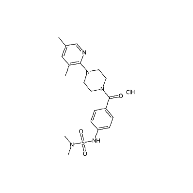 Cc1cnc(N2CCN(C(=O)c3ccc(NS(=O)(=O)N(C)C)cc3)CC2)c(C)c1.Cl